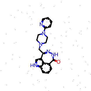 O=C1NN=C(CN2CCN(c3ccccn3)CC2)c2c[nH]c3cccc1c23